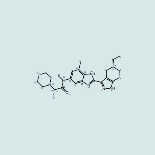 CC[C@H]1CCc2[nH]nc(-c3nc4cc(N(C)C(=O)[C@H](C)N5CCOCC5)cc(C)c4[nH]3)c2C1